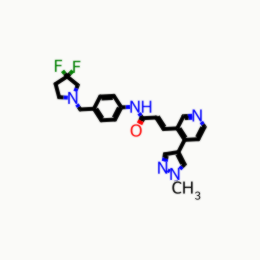 Cn1cc(-c2ccncc2/C=C/C(=O)Nc2ccc(CN3CCC(F)(F)C3)cc2)cn1